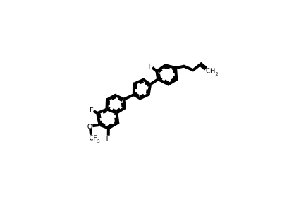 C=CCCc1ccc(-c2ccc(-c3ccc4c(F)c(OC(F)(F)F)c(F)cc4c3)cc2)c(F)c1